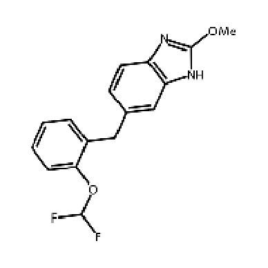 COc1nc2ccc(Cc3ccccc3OC(F)F)cc2[nH]1